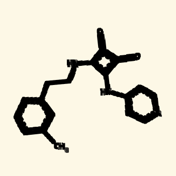 Cc1cccc(CCNc2c(Nc3ccncc3)c(=O)c2=O)c1